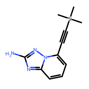 C[Si](C)(C)C#Cc1cccc2nc(N)nn12